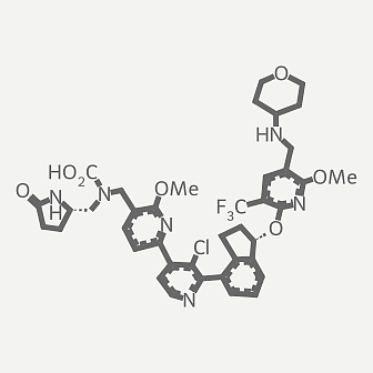 COc1nc(-c2ccnc(-c3cccc4c3CC[C@@H]4Oc3nc(OC)c(CNC4CCOCC4)cc3C(F)(F)F)c2Cl)ccc1CN(C[C@@H]1CCC(=O)N1)C(=O)O